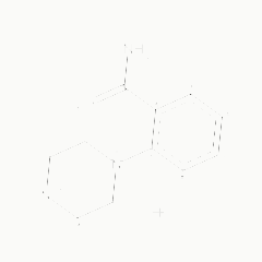 Cl.NC(=O)c1ccccc1N1CCNCC1